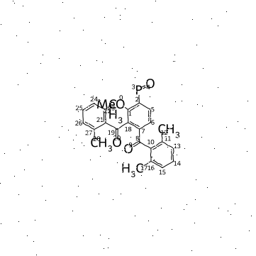 COc1c(P=O)ccc(C(=O)c2c(C)cccc2C)c1C(=O)c1c(C)cccc1C